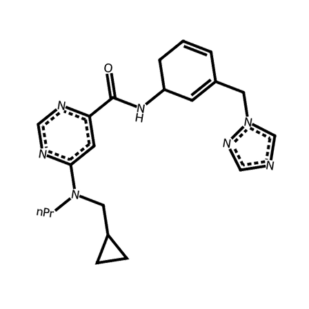 CCCN(CC1CC1)c1cc(C(=O)NC2C=C(Cn3cncn3)C=CC2)ncn1